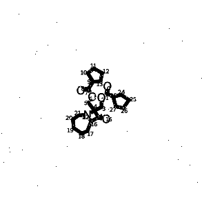 O=C(OCC1(COC(=O)C2CCCC2)C(=O)C2CCCCCN21)C1CCCC1